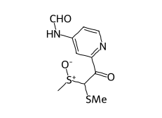 CSC(C(=O)c1cc(NC=O)ccn1)[S+](C)[O-]